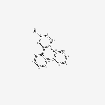 Brc1cnc2c(c1)c1ccccc1c1cccnc12